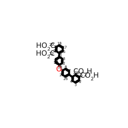 O=C(O)c1cccc(-c2ccc(Oc3ccc(-c4cccc(C(=O)O)c4C(=O)O)cc3)cc2)c1C(=O)O